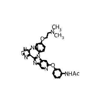 CC(=O)Nc1cccc(Oc2cc3c(cn2)nc(-c2nonc2N)n3-c2ccc(OCCN(C)C)cc2)c1